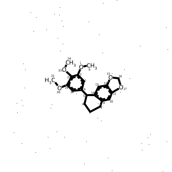 COc1cc(C2CCCc3cc4c(cc32)OCO4)cc(OC)c1OC